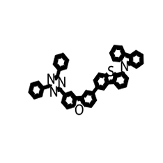 c1ccc(-c2nc(-c3ccccc3)nc(-c3ccc4oc5ccc(-c6ccc7sc8c(-n9c%10ccccc%10c%10ccccc%109)cccc8c7c6)cc5c4c3)n2)cc1